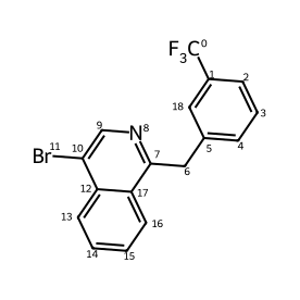 FC(F)(F)c1cccc(Cc2ncc(Br)c3ccccc23)c1